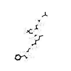 CCCC(NC(=O)[C@@H]1CC(F)(F)CN1C(=O)CNC(=O)OCC(C)C)C(=O)C(=O)NCC(=O)N[C@H](C(=O)O)c1ccccc1